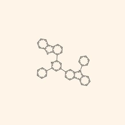 c1ccc(-c2cc(-c3ccc4c5ccccc5n(-c5ccccc5)c4c3)cc(-c3cccc4c3sc3ccccc34)n2)cc1